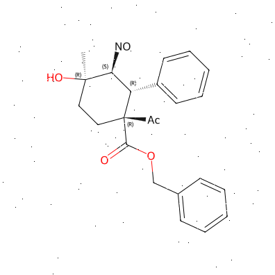 CC(=O)[C@@]1(C(=O)OCc2ccccc2)CC[C@@](C)(O)[C@@H](N=O)[C@@H]1c1ccccc1